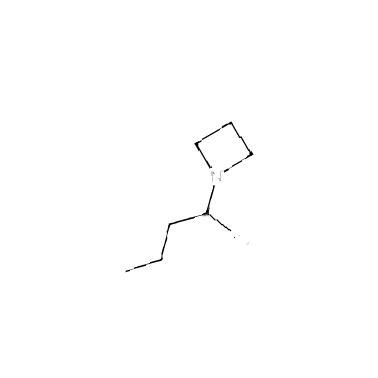 CCCC(F)N1CCC1